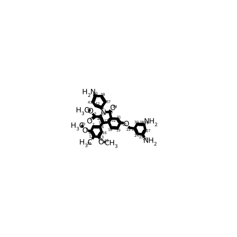 COC(=O)c1c(-c2cc(OC)c(C)c(OC)c2)c2ccc(OCc3cc(N)cc(N)c3)cc2c(=O)n1-c1ccc(N)cc1